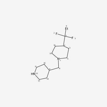 CCC(F)(F)C1CCN(CC2CCNCC2)CC1